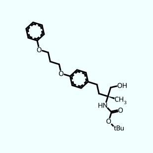 CC(C)(C)OC(=O)N[C@@](C)(CO)CCc1ccc(OCCCOc2ccccc2)cc1